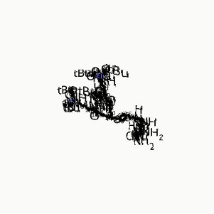 CC(C)(C)OC(=O)/N=C(\NCCCC[C@@H](N)C(=O)NCCCN(CCCNC(=O)[C@H](CCCCN/C(=N\C(=O)OC(C)(C)C)NC(=O)OC(C)(C)C)NC(=O)OC(C)(C)C)CCOc1ccc(CCCCNC(=N)NC(=O)c2nc(Cl)c(N)nc2N)cc1)NC(=O)OC(C)(C)C